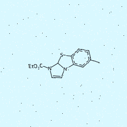 CCOC(=O)N1C=CN2c3cc(C)ccc3SC12